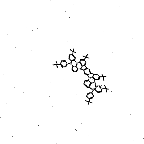 CC(C)(C)c1ccc(N2c3ccc(C(C)(C)C)cc3B3c4c2cccc4-n2c4cc5c(cc4c4cc(C(C)(C)C)cc3c42)c2cc(C(C)(C)C)cc3c2n5-c2cccc4c2B3c2cc(C(C)(C)C)ccc2N4c2ccc(C(C)(C)C)cc2)cc1